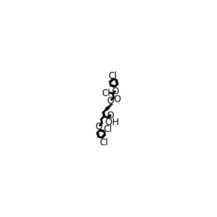 O=C(O)C(=CC#CCOC(=O)C(Cl)Oc1ccc(Cl)cc1)CCOc1ccc(Cl)cc1Cl